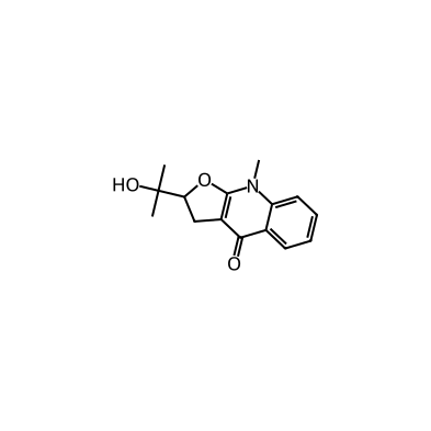 Cn1c2c(c(=O)c3ccccc31)CC(C(C)(C)O)O2